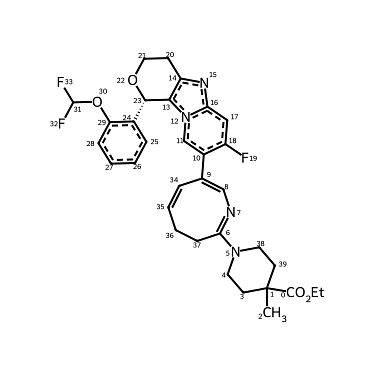 CCOC(=O)C1(C)CCN(/C2=N/C=C(c3cn4c5c(nc4cc3F)CCO[C@H]5c3ccccc3OC(F)F)\C=C/CC2)CC1